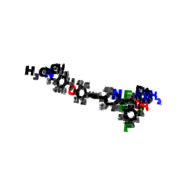 CN(C)Cc1ccc(COc2ccc(C#Cc3ccc(C(F)(F)C(O)(CN(C)/C=N\N)c4ccc(F)cc4F)nc3)cc2)cc1